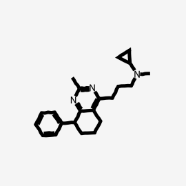 Cc1nc(CCCN(C)C2CC2)c2c(n1)C(c1ccccc1)CCC2